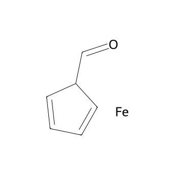 O=CC1C=CC=C1.[Fe]